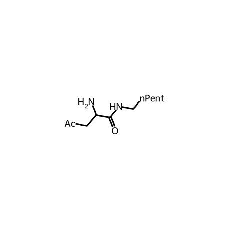 CCCCCCNC(=O)C(N)CC(C)=O